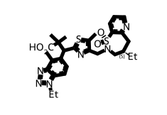 CC[C@H]1Cc2ncccc2S(=O)(=O)N(Cc2nc(C(c3ccc4c(nnn4CC)c3C)C(C)(C)C(=O)O)sc2C)C1